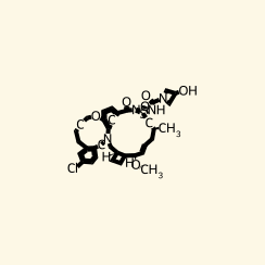 CO[C@H]1/C=C/C[C@H](C)CS(=O)(NC(=O)N2CC(O)C2)=NC(=O)c2ccc3c(c2)N(Cc2ccc(Cl)cc2CCCCO3)C[C@@H]2CC[C@H]21